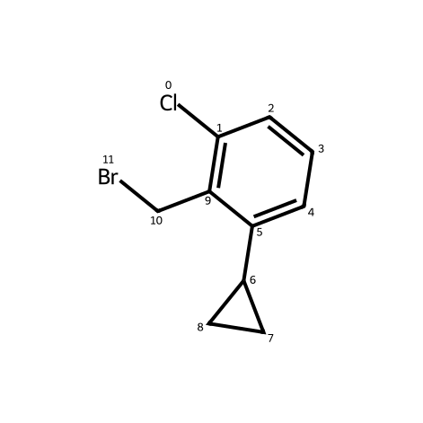 Clc1cccc(C2CC2)c1CBr